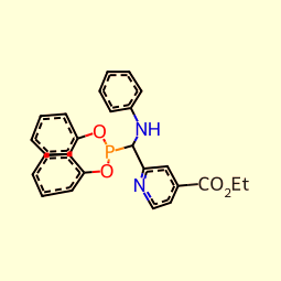 CCOC(=O)c1ccnc(C(Nc2ccccc2)P(Oc2ccccc2)Oc2ccccc2)c1